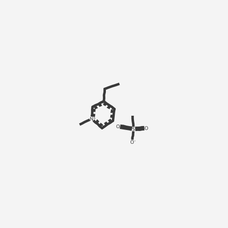 CCc1ccc[n+](C)c1.CS(=O)(=O)[O-]